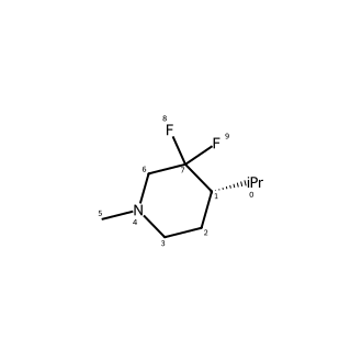 CC(C)[C@@H]1CCN(C)CC1(F)F